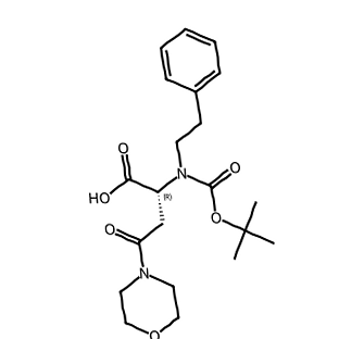 CC(C)(C)OC(=O)N(CCc1ccccc1)[C@H](CC(=O)N1CCOCC1)C(=O)O